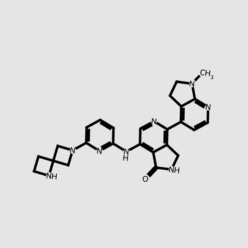 CN1CCc2c(-c3ncc(Nc4cccc(N5CC6(CCN6)C5)n4)c4c3CNC4=O)ccnc21